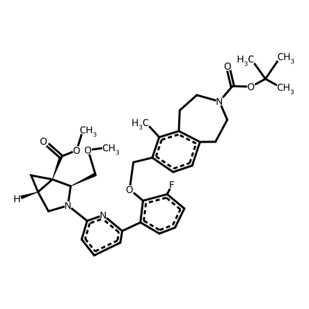 COC[C@H]1N(c2cccc(-c3cccc(F)c3OCc3ccc4c(c3C)CCN(C(=O)OC(C)(C)C)CC4)n2)C[C@@H]2C[C@@]21C(=O)OC